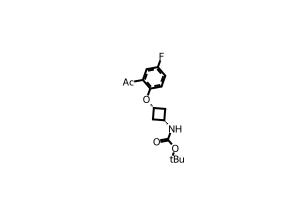 CC(=O)c1cc(F)ccc1O[C@H]1C[C@@H](NC(=O)OC(C)(C)C)C1